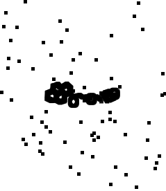 O=C(CCCOCCN1CCOCC1)c1ccc2ccc3cccc4ccc1c2c34